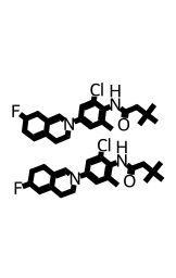 Cc1cc(N2C=C3CC(F)CC=C3CC2)cc(Cl)c1NC(=O)CC(C)(C)C.Cc1cc(N2C=C3CCC(F)C=C3CC2)cc(Cl)c1NC(=O)CC(C)(C)C